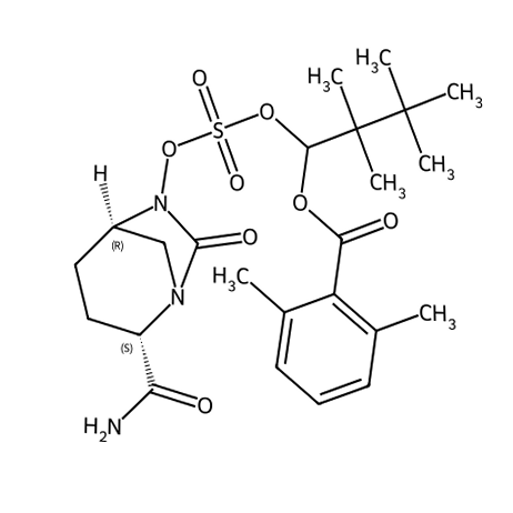 Cc1cccc(C)c1C(=O)OC(OS(=O)(=O)ON1C(=O)N2C[C@H]1CC[C@H]2C(N)=O)C(C)(C)C(C)(C)C